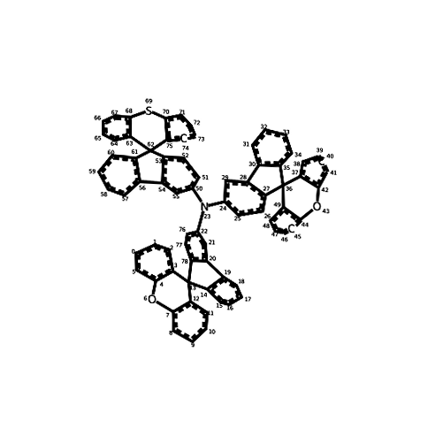 c1ccc2c(c1)Oc1ccccc1C21c2ccccc2-c2cc(N(c3ccc4c(c3)-c3ccccc3C43c4ccccc4Oc4ccccc43)c3ccc4c(c3)-c3ccccc3C43c4ccccc4Sc4ccccc43)ccc21